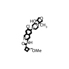 COC[C@@H]1CC[C@H]1C(=O)Nc1cc2cc(N3CCN([C@]4(C)COC[C@@H]4O)CC3)c(Cl)cc2cn1